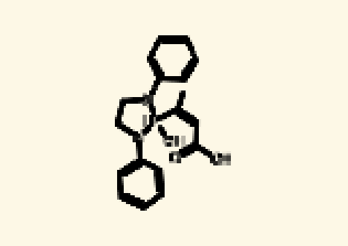 C/C(=C/C(=O)O)[PH]1(O)N(c2ccccc2)CCN1c1ccccc1